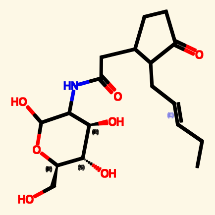 CC/C=C/CC1C(=O)CCC1CC(=O)NC1C(O)O[C@H](CO)[C@@H](O)[C@@H]1O